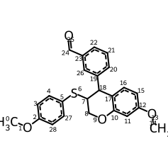 COc1ccc(SC2COc3cc(OC)ccc3C2c2cccc(C=O)c2)cc1